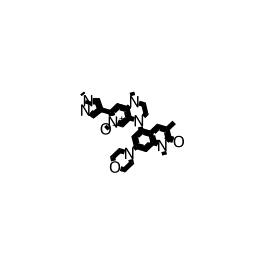 Cc1cc2c(N3CCN(C)c4cc(-c5cnn(C)c5)[n+]([O-])cc43)cc(N3CCOCC3)cc2n(C)c1=O